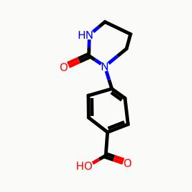 O=C(O)c1ccc(N2CCCNC2=O)cc1